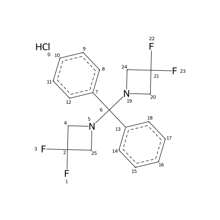 Cl.FC1(F)CN(C(c2ccccc2)(c2ccccc2)N2CC(F)(F)C2)C1